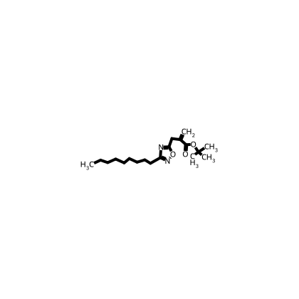 C=C(Cc1nc(CCCCCCCCC)no1)C(=O)OC(C)(C)C